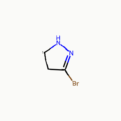 BrC1=NN[C]C1